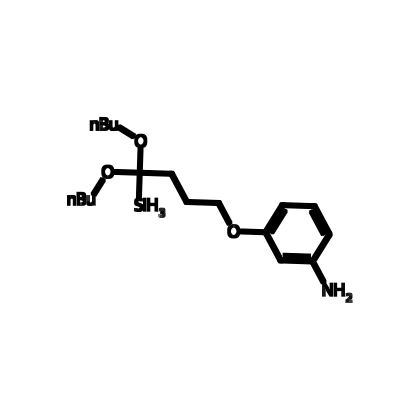 CCCCOC([SiH3])(CCCOc1cccc(N)c1)OCCCC